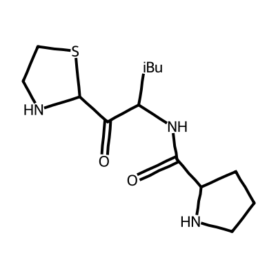 CCC(C)C(NC(=O)C1CCCN1)C(=O)C1NCCS1